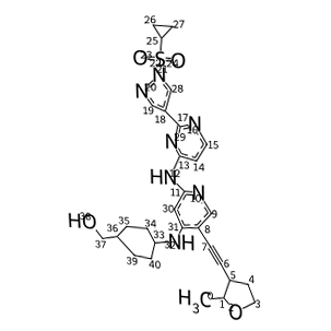 CC1OCCC1C#Cc1cnc(Nc2ccnc(-c3cnn(S(=O)(=O)C4CC4)c3)n2)cc1NC1CCC(CO)CC1